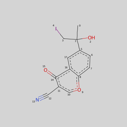 CC(O)(CI)c1ccc2occ(C#N)c(=O)c2c1